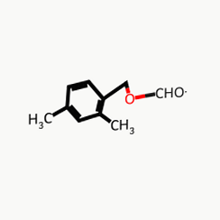 Cc1ccc(CO[C]=O)c(C)c1